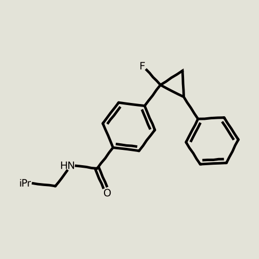 CC(C)CNC(=O)c1ccc(C2(F)CC2c2ccccc2)cc1